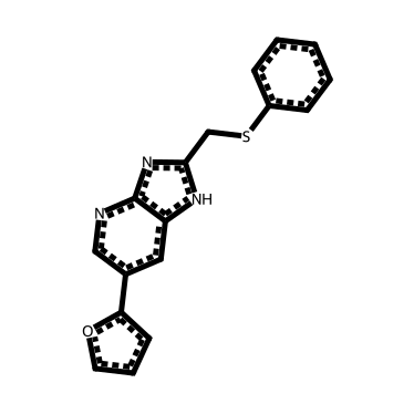 c1ccc(SCc2nc3ncc(-c4ccco4)cc3[nH]2)cc1